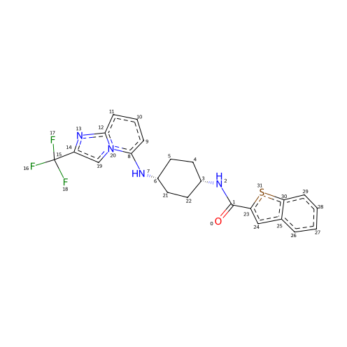 O=C(N[C@H]1CC[C@@H](Nc2cccc3nc(C(F)(F)F)cn23)CC1)c1cc2ccccc2s1